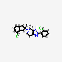 CC1(N2CCc3nc(-c4ccccc4Cl)[nH]c3C2)Cc2cccc(Cl)c2C1